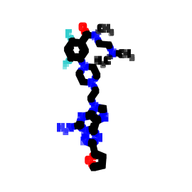 CN(C)CCN(C)C(=O)c1cc(N2CCN(CCn3cnc4c3nc(N)n3nc(-c5ccco5)nc43)CC2)c(F)cc1F